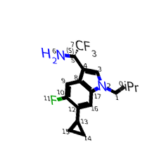 CC(C)Cn1cc([C@H](N)C(F)(F)F)c2cc(F)c(C3CC3)cc21